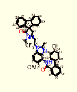 COc1ccc2c(nc(C)n2CCCCC2(C(=O)NCC(F)(F)F)c3ccccc3-c3ccccc32)c1NC(=O)c1ccccc1-c1ccc(C(F)(F)F)cc1